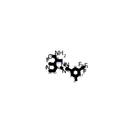 Cc1cc(-c2ncn(/C=C(/C(N)=O)c3cccnc3F)n2)cc(C(F)(F)F)c1